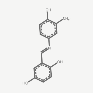 [CH2]c1cc(/N=C/c2cc(O)ccc2O)ccc1O